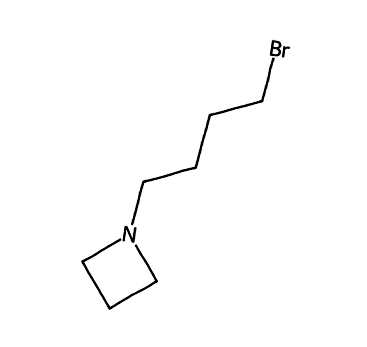 BrCCCCN1CCC1